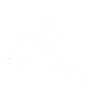 O=C(O)CCNC(=O)c1cccc(N(Cc2ccc(OC(F)(F)F)cc2)C(=O)Oc2cccc(-c3ccccc3)c2)c1